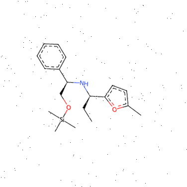 CC[C@@H](N[C@@H](CO[Si](C)(C)C)c1ccccc1)c1ccc(C)o1